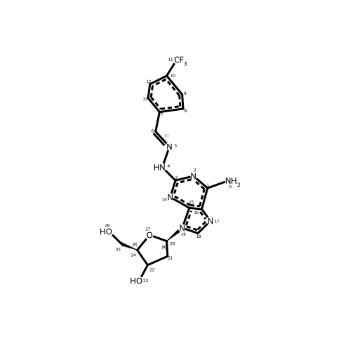 Nc1nc(N/N=C/c2ccc(C(F)(F)F)cc2)nc2c1ncn2[C@H]1CC(O)[C@@H](CO)O1